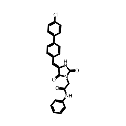 O=C(CN1C(=O)N/C(=C\c2ccc(-c3ccc(Cl)cc3)cc2)C1=O)Nc1ccccc1